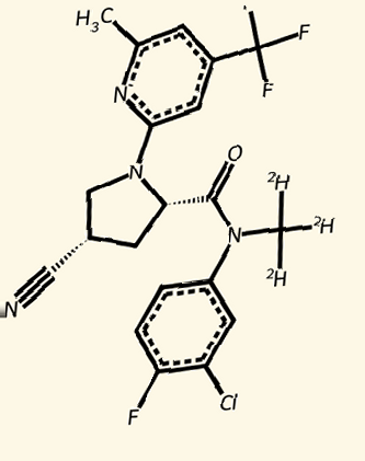 [2H]C([2H])([2H])N(C(=O)[C@@H]1C[C@H](C#N)CN1c1cc(C(F)(F)F)cc(C)n1)c1ccc(F)c(Cl)c1